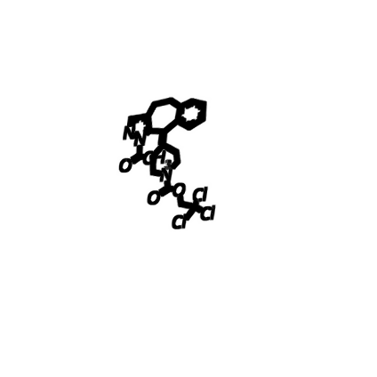 CC(=O)n1ncc2c1C(=C1CCN(C(=O)OCC(Cl)(Cl)Cl)CC1)c1ccccc1CC2